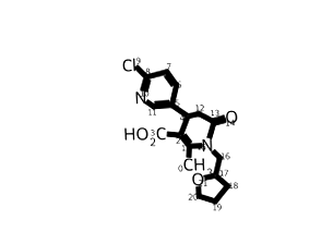 CC1=C(C(=O)O)C(c2ccc(Cl)nc2)CC(=O)N1CC1CCCO1